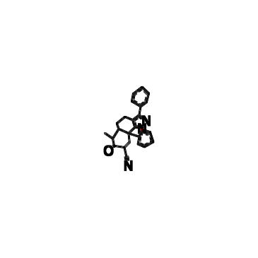 CC1C(=O)C(C#N)CC2(c3ccccc3)c3c(c(-c4ccccc4)nn3C)CCC12